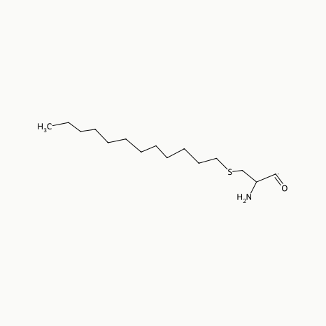 CCCCCCCCCCCCSCC(N)[C]=O